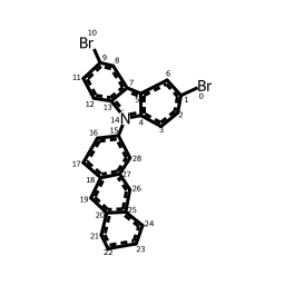 Brc1ccc2c(c1)c1cc(Br)ccc1n2-c1ccc2cc3ccccc3cc2c1